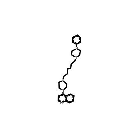 c1ccc(N2CCN(CCCCCCN3CCN(c4ccnc5ccccc45)CC3)CC2)cc1